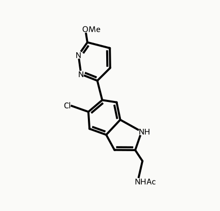 COc1ccc(-c2cc3[nH]c(CNC(C)=O)cc3cc2Cl)nn1